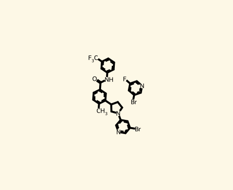 Cc1ccc(C(=O)Nc2cccc(C(F)(F)F)c2)cc1C1CCN(c2cncc(Br)c2)C1.Fc1cncc(Br)c1